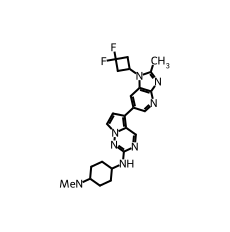 CNC1CCC(Nc2ncc3c(-c4cnc5nc(C)n(C6CC(F)(F)C6)c5c4)ccn3n2)CC1